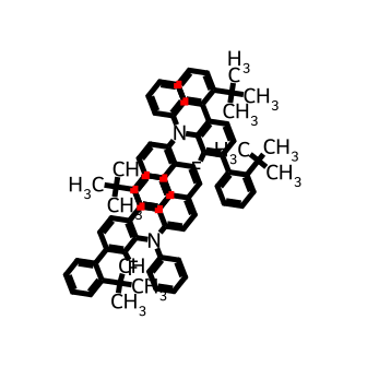 CC(C)(C)c1ccccc1-c1ccc(-c2ccccc2C(C)(C)C)c(N(c2ccccc2)c2ccc3ccc4c(N(c5ccccc5)c5c(-c6ccccc6C(C)(C)C)ccc(-c6ccccc6C(C)(C)C)c5F)ccc5ccc2c3c54)c1F